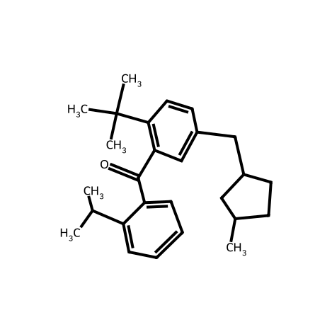 CC1CCC(Cc2ccc(C(C)(C)C)c(C(=O)c3ccccc3C(C)C)c2)C1